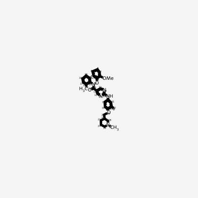 COc1ccccc1ON(C(=O)c1cnc(Nc2ccc(OCC3CCCN(C)C3)c(F)c2)nc1)c1c(C)cccc1C